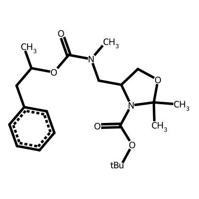 CC(Cc1ccccc1)OC(=O)N(C)CC1COC(C)(C)N1C(=O)OC(C)(C)C